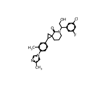 Cc1cn(-c2ccc(C3CC34CCCN(C(CO)c3cc(F)cc(Cl)c3)C4=O)cc2C)cn1